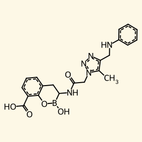 Cc1c(CNc2ccccc2)nnn1CC(=O)NC1Cc2cccc(C(=O)O)c2OB1O